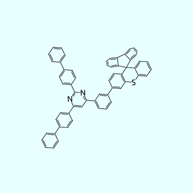 c1ccc(-c2ccc(-c3cc(-c4cccc(-c5ccc6c(c5)Sc5ccccc5C65c6ccccc6-c6ccccc65)c4)nc(-c4ccc(-c5ccccc5)cc4)n3)cc2)cc1